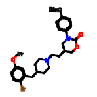 COc1ccc(N2CC(CCN3CCC(Cc4cc(OC(C)C)ccc4Br)CC3)COC2=O)cc1